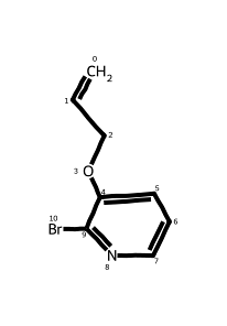 C=CCOc1cccnc1Br